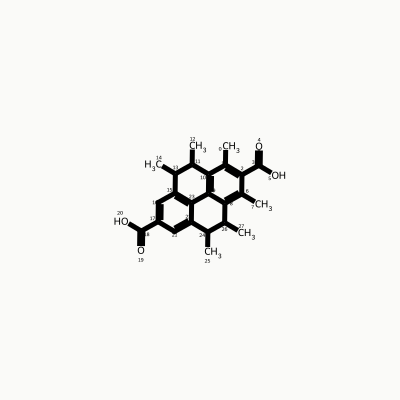 Cc1c(C(=O)O)c(C)c2c3c1C(C)C(C)c1cc(C(=O)O)cc(c1-3)C(C)C2C